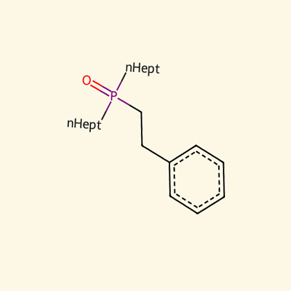 CCCCCCCP(=O)(CCCCCCC)CCc1ccccc1